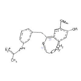 C=C(C)Nc1cccc(CC(/N=C\C)=c2\cc(OC)c(O)cc2=C)c1